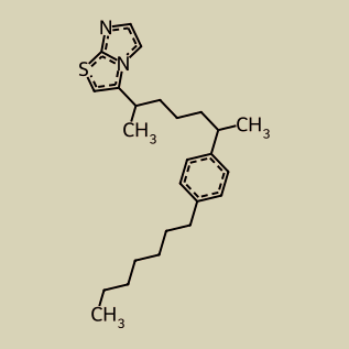 CCCCCCCc1ccc(C(C)CCCC(C)c2csc3nccn23)cc1